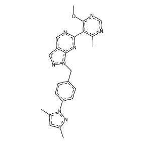 COc1ncnc(C)c1-c1ncc2cnn(Cc3ccc(-n4nc(C)cc4C)cc3)c2n1